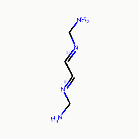 NC/N=C/C=N/CN